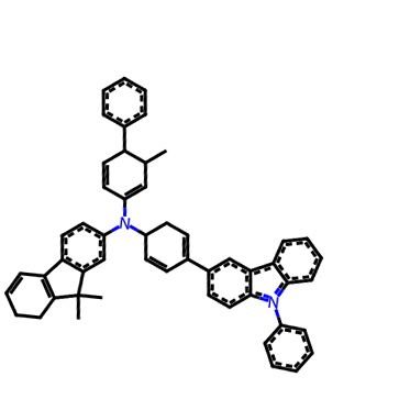 CC1C=C(N(c2ccc3c(c2)C(C)(C)C2=C3C=CCC2)C2C=CC(c3ccc4c(c3)c3ccccc3n4-c3ccccc3)=CC2)C=CC1c1ccccc1